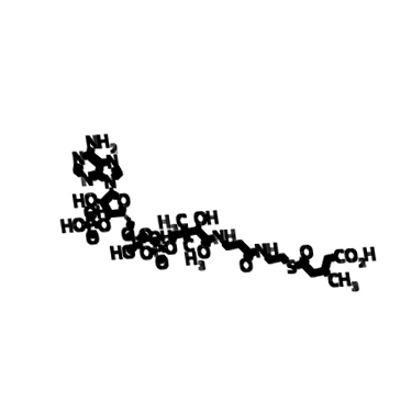 CC(CC(=O)O)CC(=O)SCCNC(=O)CCNC(=O)[C@H](O)C(C)(C)COP(=O)(O)OP(=O)(O)OC[C@H]1O[C@@H](n2cnc3c(N)ncnc32)[C@H](O)[C@@H]1OP(=O)(O)O